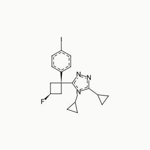 F[C@H]1C[C@](c2ccc(I)cc2)(c2nnc(C3CC3)n2C2CC2)C1